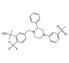 CC(C)(O)c1cc(CN2CCN(c3cccc(S(C)(=O)=O)c3)CC2c2ccccc2)ccc1C(F)(F)F